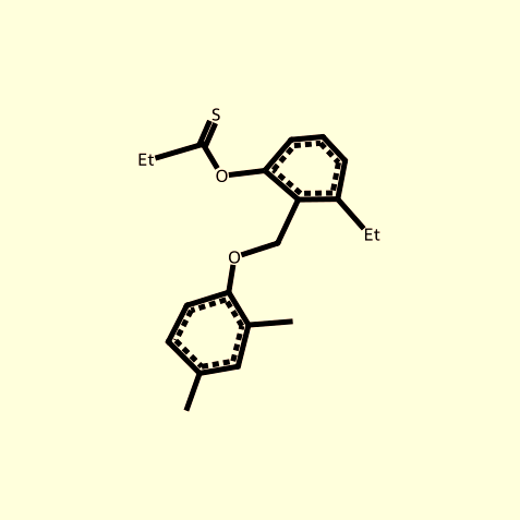 CCC(=S)Oc1cccc(CC)c1COc1ccc(C)cc1C